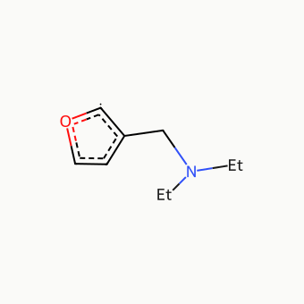 CCN(CC)Cc1[c]occ1